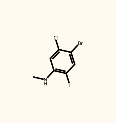 CNc1cc(Cl)c(Br)cc1I